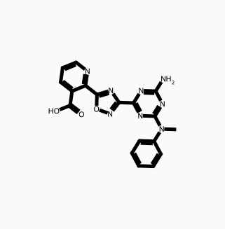 CN(c1ccccc1)c1nc(N)nc(-c2noc(-c3ncccc3C(=O)O)n2)n1